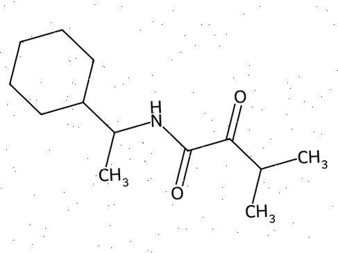 CC(C)C(=O)C(=O)NC(C)C1CCCCC1